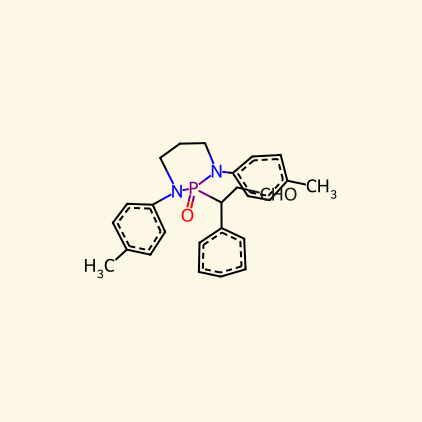 Cc1ccc(N2CCCN(c3ccc(C)cc3)P2(=O)C(CC=O)c2ccccc2)cc1